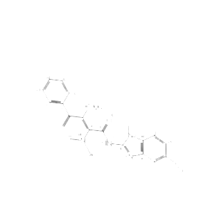 C=C(/C(OC)=C(/C(=O)Nc1nc2cc(Cl)ccc2[nH]1)N(C)C)c1ccccc1